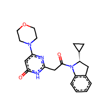 O=C(Cc1nc(N2CCOCC2)cc(=O)[nH]1)N1c2ccccc2C[C@H]1C1CC1